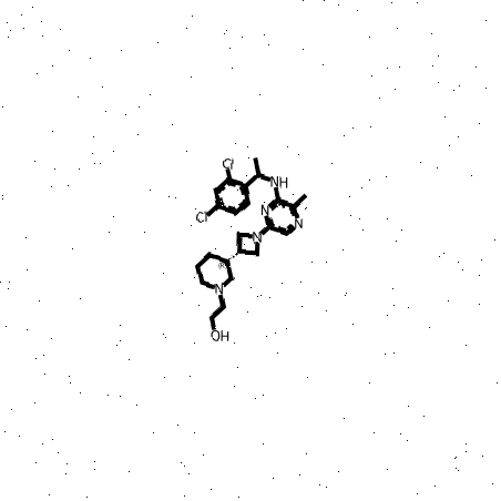 Cc1ncc(N2CC([C@H]3CCCN(CCO)C3)C2)nc1NC(C)c1ccc(Cl)cc1Cl